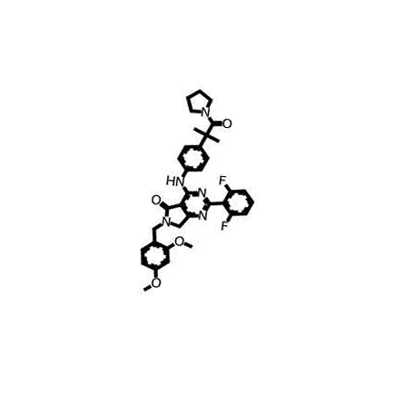 COc1ccc(CN2Cc3nc(-c4c(F)cccc4F)nc(Nc4ccc(C(C)(C)C(=O)N5CCCC5)cc4)c3C2=O)c(OC)c1